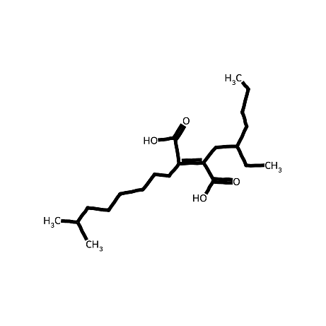 CCCCC(CC)CC(C(=O)O)=C(CCCCCCC(C)C)C(=O)O